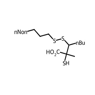 CCCCCCCCCCCCSSC(CCCC)C(C)(S)C(=O)O